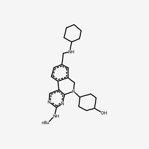 CCCCNc1ncc2c(n1)N(C1CCC(O)CC1)Cc1cc(CNC3CCCCC3)ccc1-2